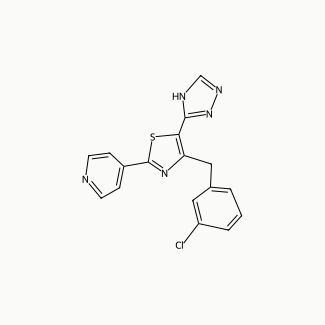 Clc1cccc(Cc2nc(-c3ccncc3)sc2-c2nnc[nH]2)c1